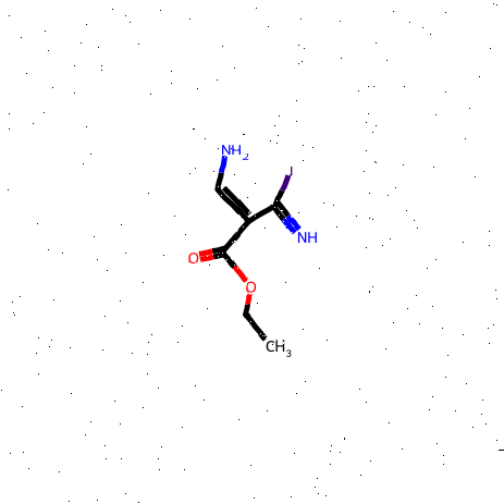 CCOC(=O)/C(=C/N)C(=N)I